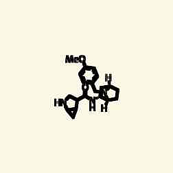 COc1ccc(CN2[C@H]3CC[C@@H]2[C@H](NC(=O)C2CNC4CC42)C3)cc1